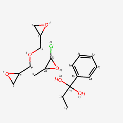 C(OCC1CO1)C1CO1.CC1OC1Cl.CCC(O)(O)c1ccccc1